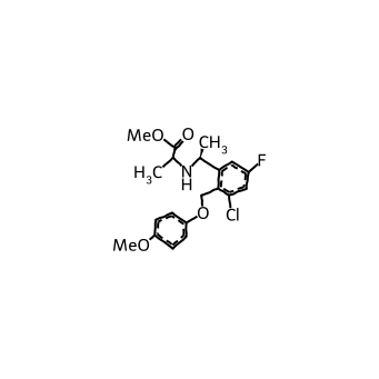 COC(=O)C(C)N[C@@H](C)c1cc(F)cc(Cl)c1COc1ccc(OC)cc1